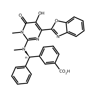 CN(c1nc(-c2nc3ccccc3o2)c(O)c(=O)n1C)[C@H](c1ccccc1)c1cccc(C(=O)O)c1